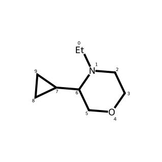 CCN1CCOCC1C1CC1